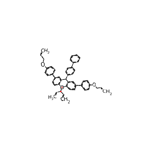 C=CCOc1ccc(-c2ccc(OCC=C)c(C(c3ccc(-c4ccccc4)cc3)c3cc(-c4ccc(OCC=C)cc4)ccc3OCC=C)c2)cc1